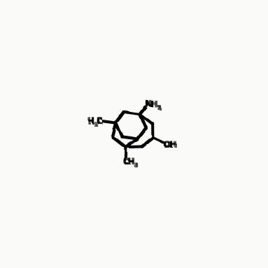 CC12CC3CC(N)(CC(O)CC3(C)C1)C2